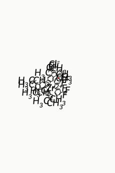 CC1C=C(C(C)(C)C)C=[C]1[Zr+2](=[C](c1cccc(C(F)(F)F)c1)c1cccc(C(F)(F)F)c1)[CH]1c2cc3c(cc2-c2cc4c(cc21)C(C)(C)C=C4C(C)(C)C)C(C(C)(C)C)=CC3(C)C.[Cl-].[Cl-]